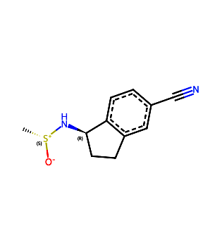 C[S@@+]([O-])N[C@@H]1CCc2cc(C#N)ccc21